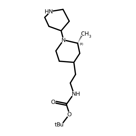 C[C@@H]1CC(CCNC(=O)OC(C)(C)C)CCN1C1CCNCC1